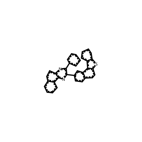 c1ccc(-c2nc3ccc4ccccc4c3nc2-c2ccc3ccc4sc5ccccc5c4c3c2)cc1